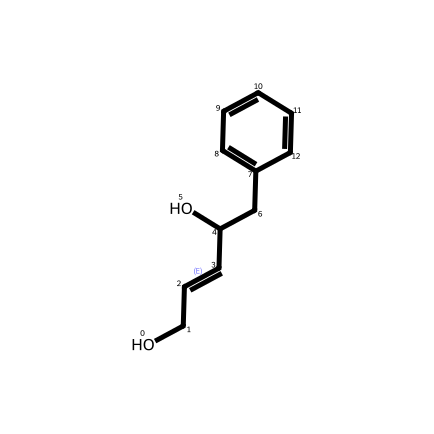 OC/C=C/C(O)Cc1ccccc1